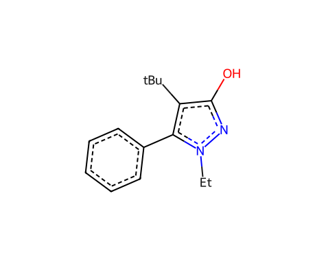 CCn1nc(O)c(C(C)(C)C)c1-c1ccccc1